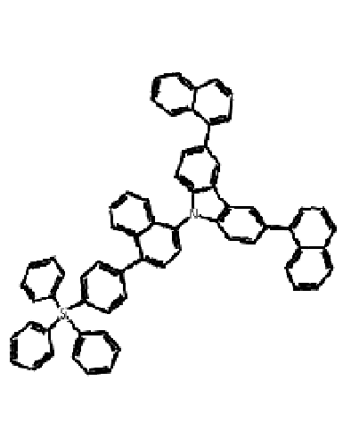 c1ccc([Si](c2ccccc2)(c2ccccc2)c2ccc(-c3ccc(-n4c5ccc(-c6cccc7ccccc67)cc5c5cc(-c6cccc7ccccc67)ccc54)c4ccccc34)cc2)cc1